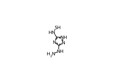 NNc1n[nH]c(NS)n1